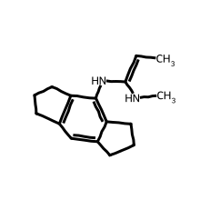 C/C=C(\NC)Nc1c2c(cc3c1CCC3)CCC2